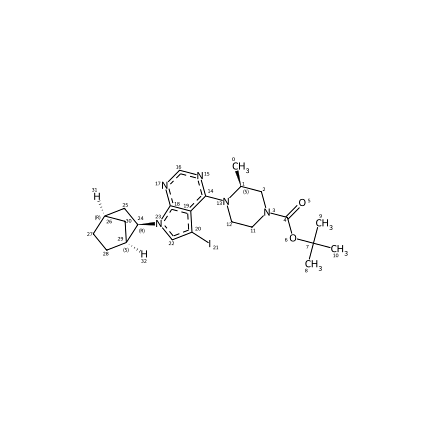 C[C@H]1CN(C(=O)OC(C)(C)C)CCN1c1ncnc2c1c(I)cn2[C@@H]1C[C@@H]2CC[C@H]1C2